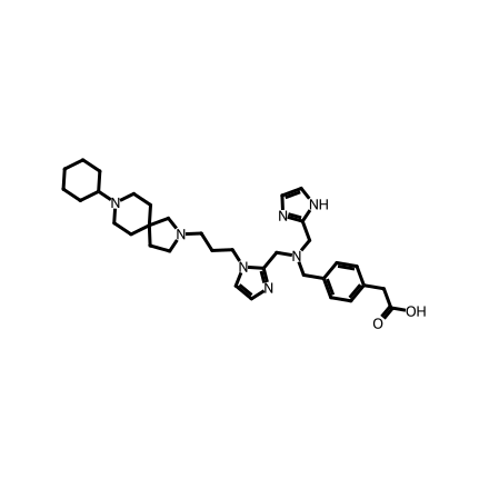 O=C(O)Cc1ccc(CN(Cc2ncc[nH]2)Cc2nccn2CCCN2CCC3(CCN(C4CCCCC4)CC3)C2)cc1